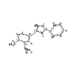 Cc1ccc(-c2noc(-c3ccccn3)n2)cc1N